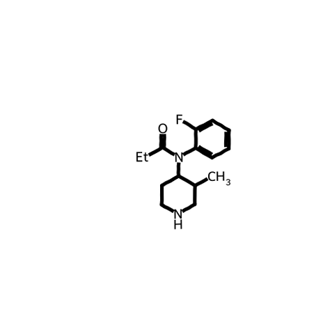 CCC(=O)N(c1ccccc1F)C1CCNCC1C